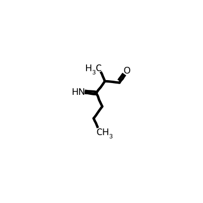 CCCC(=N)C(C)C=O